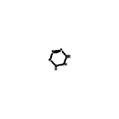 N1=PNPN[P]1